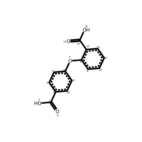 O=C(O)c1ccc(Oc2ccccc2C(=O)O)cc1